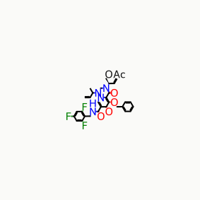 C=CC(C)N1CN([C@H](C=C)COC(C)=O)C(=O)c2c(OCc3ccccc3)c(=O)c(C(=O)NCc3c(F)cc(F)cc3F)cn21